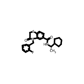 C[C@H](NC(=O)c1ccc2c(c1)N(Cc1ccccc1F)C(=O)CS2)C1CCCCC1